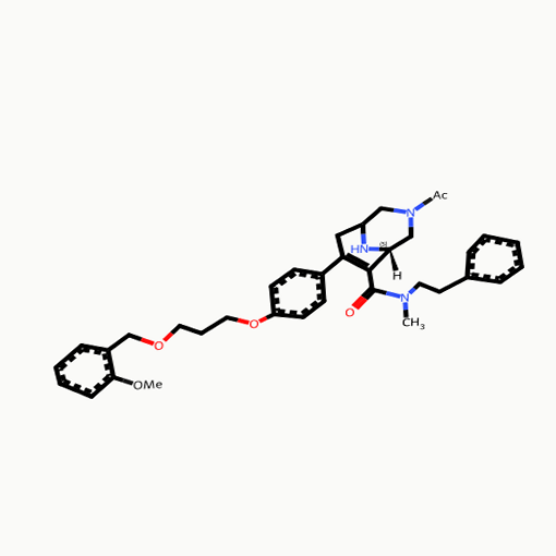 COc1ccccc1COCCCOc1ccc(C2=C(C(=O)N(C)CCc3ccccc3)[C@H]3CN(C(C)=O)CC(C2)N3)cc1